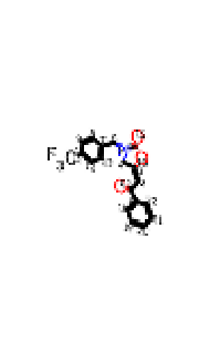 O=C(C=C1CN(Cc2ccc(C(F)(F)F)cc2)C(=O)O1)c1ccccc1